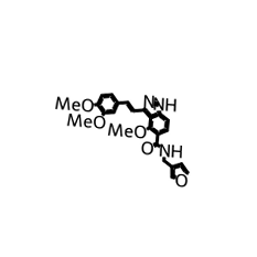 COc1ccc(/C=C/c2n[nH]c3ccc(C(=O)NCc4ccoc4)c(OC)c23)cc1OC